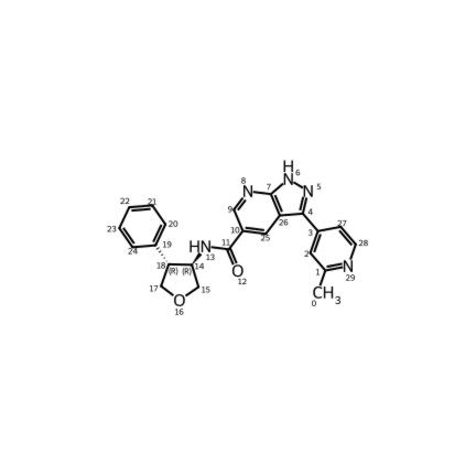 Cc1cc(-c2n[nH]c3ncc(C(=O)N[C@H]4COC[C@@H]4c4ccccc4)cc23)ccn1